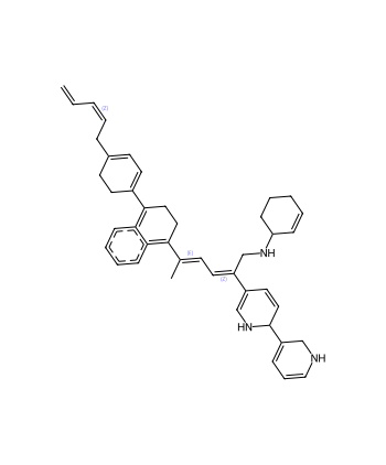 C=C/C=C\CC1=CC=C(C2=c3ccccc3=C(/C(C)=C/C=C(\CNC3C=CCCC3)C3=CNC(C4=CC=CNC4)C=C3)CC2)CC1